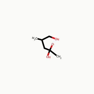 CC(CO)CC(C)([O])O